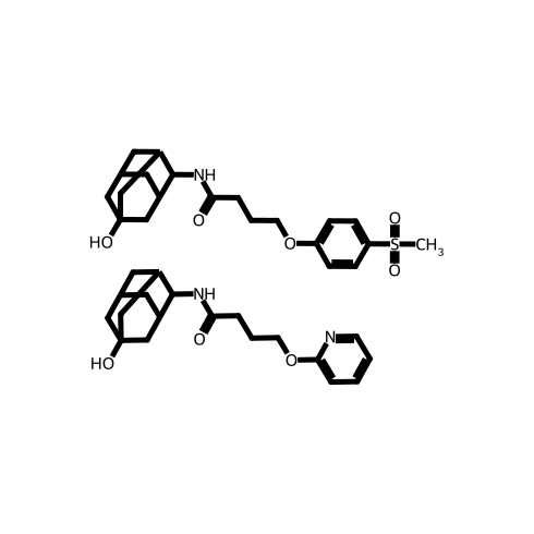 CS(=O)(=O)c1ccc(OCCCC(=O)NC2C3CC4CC2CC(O)(C4)C3)cc1.O=C(CCCOc1ccccn1)NC1C2CC3CC1CC(O)(C3)C2